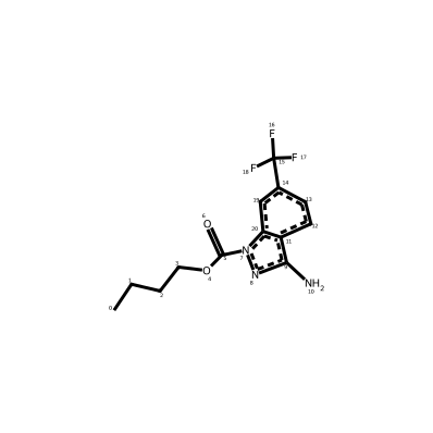 CCCCOC(=O)n1nc(N)c2ccc(C(F)(F)F)cc21